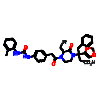 Cc1ccccc1NC(=O)Nc1ccc(CC(=O)N2CCN(C(CC(=O)O)(Cc3ccccc3)C3=COCO3)C(=O)C2CC(C)C)cc1